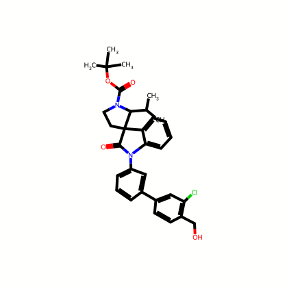 CC(C)C1N(C(=O)OC(C)(C)C)CCC12C(=O)N(c1cccc(-c3ccc(CO)c(Cl)c3)c1)c1ccccc12